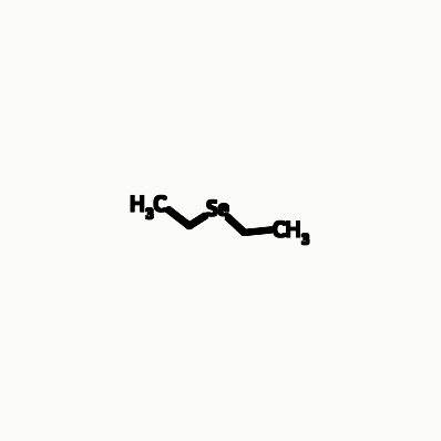 CC[Se]CC